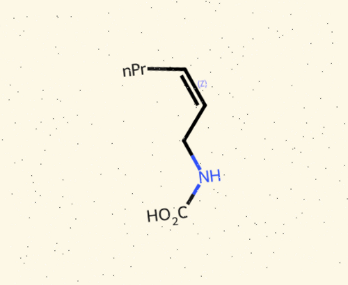 CCC/C=C\CNC(=O)O